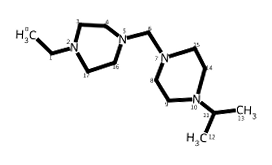 CCN1CCN(CN2CCN(C(C)C)CC2)CC1